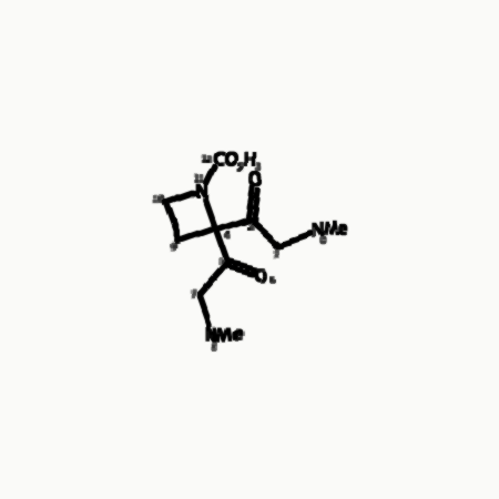 CNCC(=O)C1(C(=O)CNC)CCN1C(=O)O